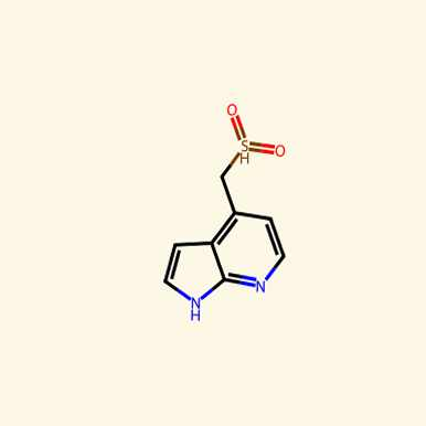 O=[SH](=O)Cc1ccnc2[nH]ccc12